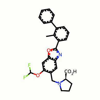 Cc1c(-c2ccccc2)cccc1-c1nc2cc(CN3CCC[C@@H]3C(=O)O)c(OC(F)F)cc2o1